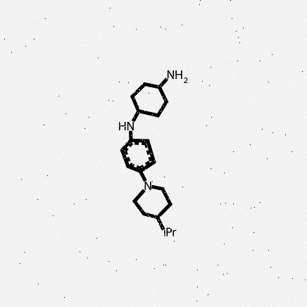 CC(C)C1CCN(c2ccc(NC3CCC(N)CC3)cc2)CC1